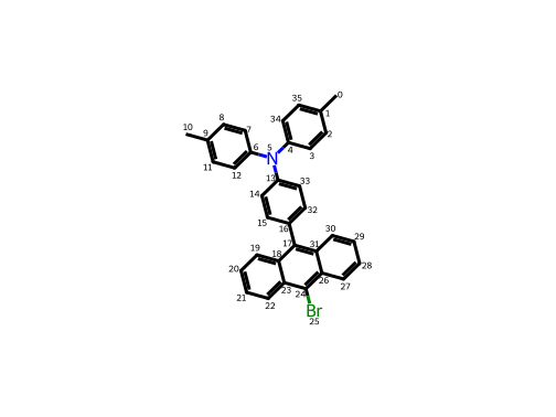 Cc1ccc(N(c2ccc(C)cc2)c2ccc(-c3c4ccccc4c(Br)c4ccccc34)cc2)cc1